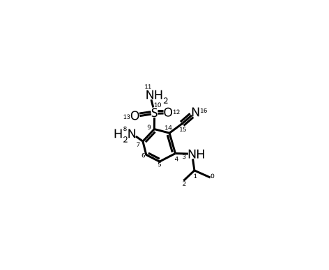 CC(C)Nc1ccc(N)c(S(N)(=O)=O)c1C#N